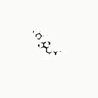 CC(=O)OC[C@H]1O[C@@H](n2cnc3c(C[C@@H](NC(=O)OC(C)(C)C)C(=O)O)ncnc32)[C@H](OC(C)=O)[C@@H]1OC(C)=O